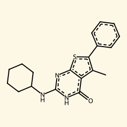 Cc1c(-c2ccccc2)sc2nc(NC3CCCCC3)[nH]c(=O)c12